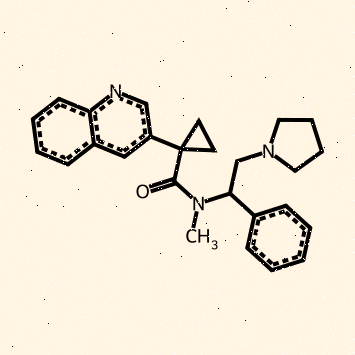 CN(C(=O)C1(c2cnc3ccccc3c2)CC1)C(CN1CCCC1)c1ccccc1